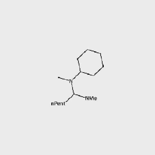 CCCCCC(NC)N(C)C1CCCCC1